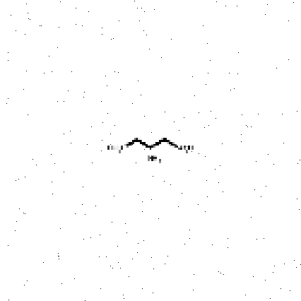 N.O=C(O)[CH]CCS(=O)(=O)O